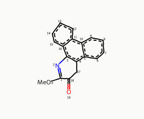 COC1=Nc2c(c3ccccc3c3ccccc23)CC1=O